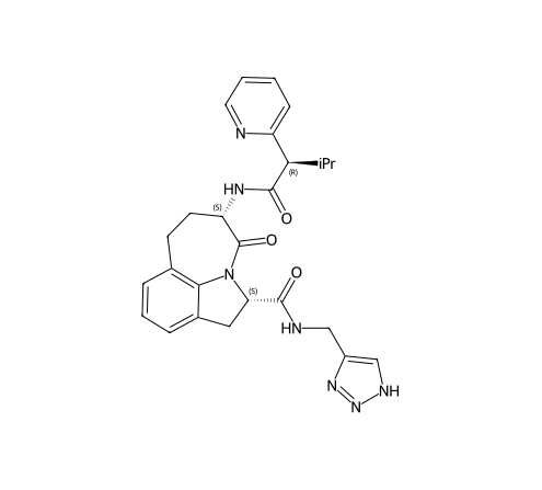 CC(C)[C@@H](C(=O)N[C@H]1CCc2cccc3c2N(C1=O)[C@H](C(=O)NCc1c[nH]nn1)C3)c1ccccn1